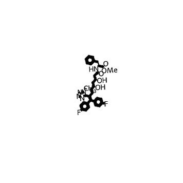 COC(=O)[C@H](Cc1ccccc1)NC(=O)C[C@H](O)C[C@H](O)C=CC(=C(c1ccc(F)cc1)c1ccc(F)cc1)c1nnnn1C